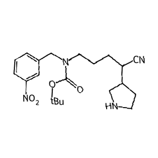 CC(C)(C)OC(=O)N(CCCC(C#N)C1CCNC1)Cc1cccc([N+](=O)[O-])c1